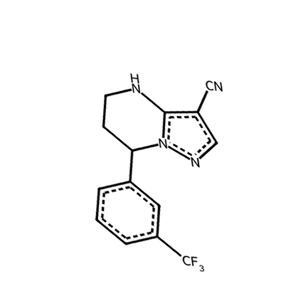 N#Cc1cnn2c1NCCC2c1cccc(C(F)(F)F)c1